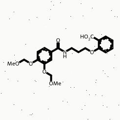 COCOc1ccc(C(=O)NCCCOc2ccccc2C(=O)O)cc1OCOC